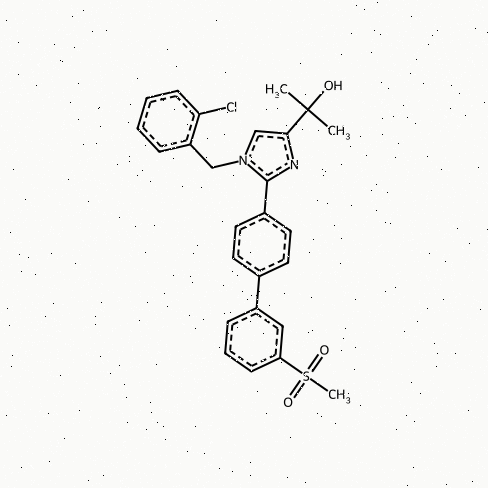 CC(C)(O)c1cn(Cc2ccccc2Cl)c(-c2ccc(-c3cccc(S(C)(=O)=O)c3)cc2)n1